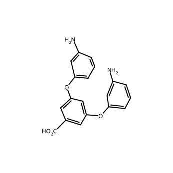 Nc1cccc(Oc2cc(Oc3cccc(N)c3)cc(C(=O)O)c2)c1